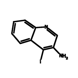 Nc1cnc2ccccc2c1I